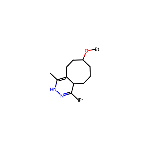 CCOC1CCCC2C(C(C)C)=NNC(C)=C2CC1